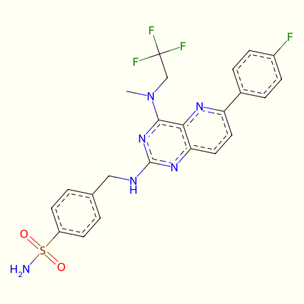 CN(CC(F)(F)F)c1nc(NCc2ccc(S(N)(=O)=O)cc2)nc2ccc(-c3ccc(F)cc3)nc12